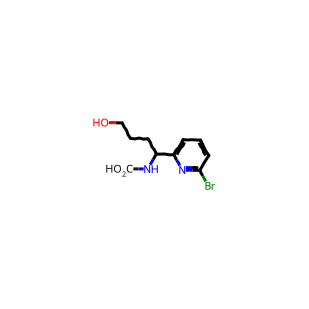 O=C(O)NC(CCCO)c1cccc(Br)n1